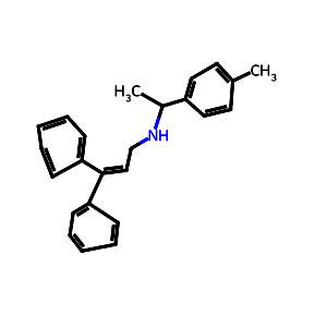 Cc1ccc(C(C)NCC=C(c2ccccc2)c2ccccc2)cc1